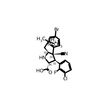 CC(C)(C)C[C@@H]1N[C@@H](C(=O)O)[C@H](c2cccc(Cl)c2F)[C@@]1(C#N)c1ccc(Br)cn1